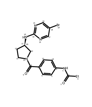 CCC(=O)Nc1ccc(C(=O)N2CC[C@@H](Nc3ncc(Br)cn3)C2)cc1